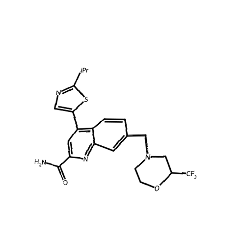 CC(C)c1ncc(-c2cc(C(N)=O)nc3cc(CN4CCOC(C(F)(F)F)C4)ccc23)s1